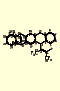 C/C(=C(\C1c2ccccc2Cc2cc3c(cc21)C1C(C(F)(F)F)=C(C(F)(F)F)C3c2ccccc21)C(F)(F)F)C(F)(F)F